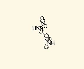 O=C(C1=CNC2C=CC(c3ccc4oc(Nc5ccccc5)nc4c3)=CN12)N1CCOCC1